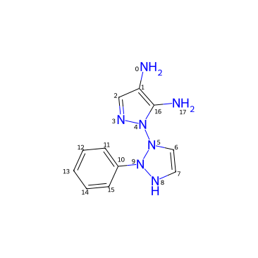 Nc1cnn(N2C=CNN2c2ccccc2)c1N